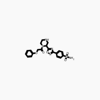 NS(=O)(=O)c1ccc(-c2noc(C3CNCCN3C(=O)COc3ccccc3)n2)cc1